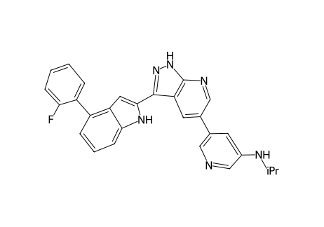 CC(C)Nc1cncc(-c2cnc3[nH]nc(-c4cc5c(-c6ccccc6F)cccc5[nH]4)c3c2)c1